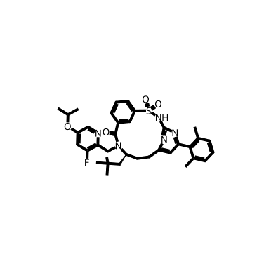 Cc1cccc(C)c1-c1cc2nc(n1)NS(=O)(=O)c1cccc(c1)C(=O)N(Cc1ncc(OC(C)C)cc1F)[C@H](CC(C)(C)C)CC2